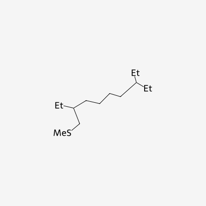 CCC(CC)CCCCC(CC)CSC